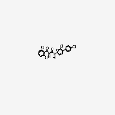 O=C(NC(=O)c1c(Cl)cccc1Cl)Nc1ccc(-c2ccc(Cl)cc2)c(Cl)n1